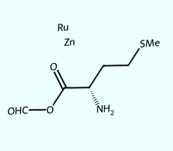 CSCC[C@H](N)C(=O)OC=O.[Ru].[Zn]